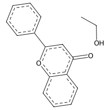 CCO.O=c1cc(-c2ccccc2)oc2ccccc12